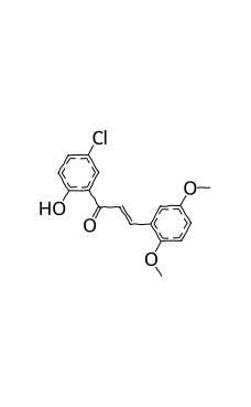 COc1ccc(OC)c(C=CC(=O)c2cc(Cl)ccc2O)c1